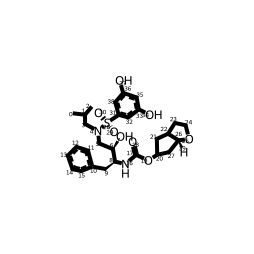 CC(C)CN(C[C@@H](O)[C@H](Cc1ccccc1)NC(=O)OC1CC2CCO[C@@H]2C1)S(=O)(=O)c1cc(O)cc(O)c1